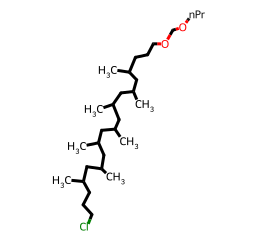 CCCOCOCCCC(C)CC(C)CC(C)CC(C)CC(C)CC(C)CC(C)CCCCl